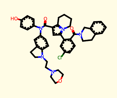 O=C(c1ccc(Cl)cc1-c1cc(C(=O)N(c2ccc(O)cc2)c2ccc3c(c2)CCN3CCN2CCOCC2)c2n1CCCC2)N1CCc2ccccc2C1